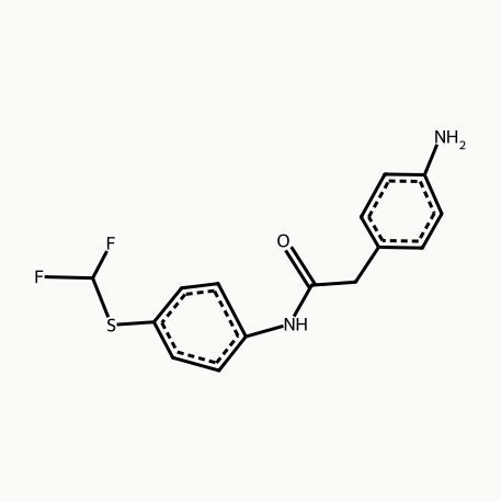 Nc1ccc(CC(=O)Nc2ccc(SC(F)F)cc2)cc1